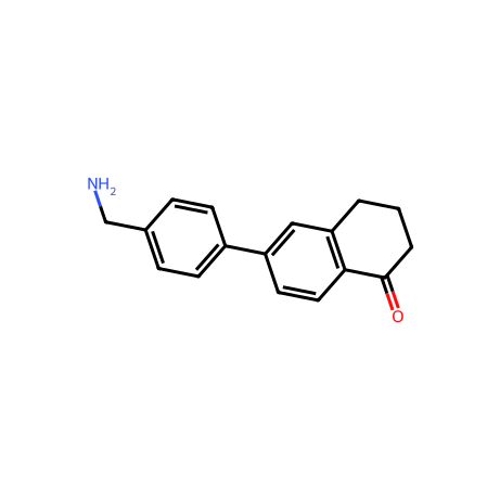 NCc1ccc(-c2ccc3c(c2)CCCC3=O)cc1